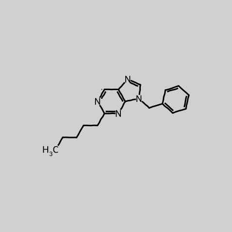 CCCCCc1n[c]c2ncn(Cc3ccccc3)c2n1